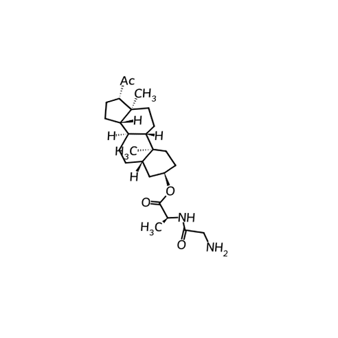 CC(=O)[C@H]1CC[C@H]2[C@@H]3CC[C@H]4C[C@H](OC(=O)[C@H](C)NC(=O)CN)CC[C@]4(C)[C@H]3CC[C@]12C